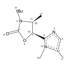 Cc1cnc([C@H]2OC(=O)N(C(C)(C)C)[C@H]2C)n1C